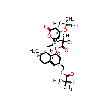 CCC(C)(C)C(=O)OC[C@H]1C=C2CC[C@H](C)[C@H](CC[C@@H]3C[C@@H](O[Si](C)(C)C(C)(C)C)CC(=O)O3)[C@H]2[C@@H](OC(=O)C(C)(C)CC)C1